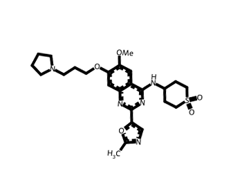 COc1cc2c(NC3CCS(=O)(=O)CC3)nc(-c3cnc(C)o3)nc2cc1OCCCN1CCCC1